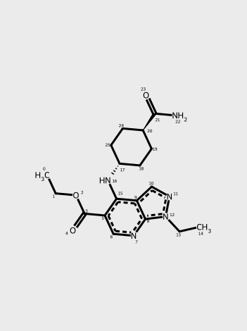 CCOC(=O)c1cnc2c(cnn2CC)c1N[C@H]1CC[C@H](C(N)=O)CC1